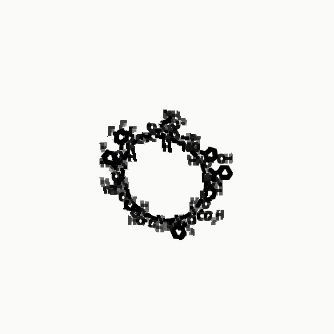 CCCC[C@H]1C(=O)N2CCC[C@@H]2C(=O)N[C@@H](CO)C(=O)N[C@@H](C(C)C)C(=O)N(C)[C@@H](Cc2ccccc2)C(=O)N[C@@H](CC(=O)O)C(=O)N2CCCC[C@@H]2C(=O)N[C@@H](Cc2c[nH]c3ccccc23)C(=O)N[C@@H](Cc2ccc(O)cc2)C(=O)N[C@@H](CC(C)C)C(=O)N[C@H](C(=O)NCC(N)=O)CSCC(=O)N[C@@H](Cc2cc(F)c(F)c(F)c2)C(=O)N(C)[C@@H](Cc2ccc(F)cc2)C(=O)N1C